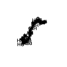 Cc1ncsc1-c1ccc([C@H](C)NC(=O)[C@@H]2C[C@@H](O)CN2C(=O)[C@@H](NC(=O)CCC(=O)NCCCN2C[C@@H]3CN(CCC(=O)NCCCNc4cc(N5CCC6(CC5)CN(c5cc(F)c(CN7CCC(C)(C)CC7)cc5F)CC(=O)N6)ncn4)C[C@@H]3C2)C(C)(C)C)cc1